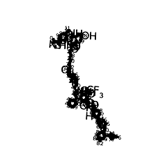 Cc1ncsc1-c1ccc([C@H](C)NC(=O)[C@@H]2C[C@@H](O)CN2C(=O)[C@@H](NC(=O)CCCCCCC(=O)N2CC3(CN(CC[C@H](CSc4ccccc4)Nc4ccc(S(=O)(=O)NC(=O)c5ccc(N6CCN(CC7=C(C89CC(C)(C8)C9)CC(C)(C)CC7)CC6)cc5)cc4S(=O)(=O)C(F)(F)F)C3)C2)C(C)(C)C)cc1